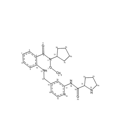 CON(C(=O)c1ccccc1NCc1ccnc(NC(=O)C2CCCN2)c1)C1CCCC1